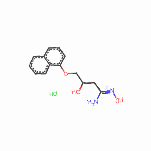 Cl.N/C(CC(O)COc1cccc2ccccc12)=N\O